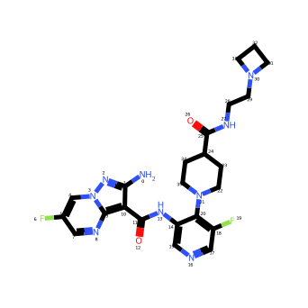 Nc1nn2cc(F)cnc2c1C(=O)Nc1cncc(F)c1N1CCC(C(=O)NCCN2CCC2)CC1